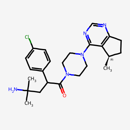 C[C@@H]1CCc2ncnc(N3CCN(C(=O)C(CC(C)(C)N)c4ccc(Cl)cc4)CC3)c21